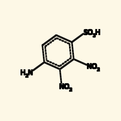 Nc1ccc(S(=O)(=O)O)c([N+](=O)[O-])c1[N+](=O)[O-]